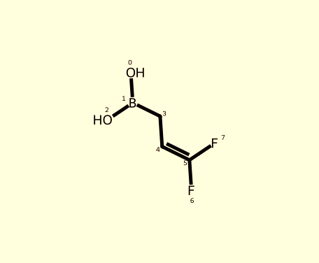 OB(O)CC=C(F)F